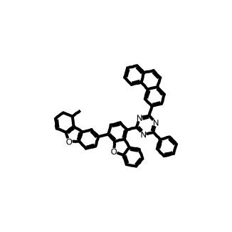 CC1CC=Cc2oc3ccc(-c4ccc(-c5nc(-c6ccccc6)nc(-c6ccc7ccc8ccccc8c7c6)n5)c5c4oc4ccccc45)cc3c21